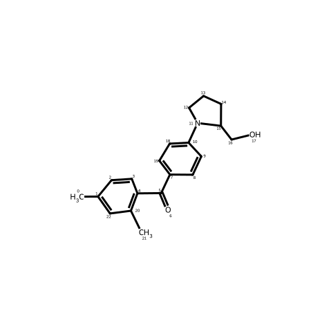 Cc1ccc(C(=O)c2ccc(N3CCCC3CO)cc2)c(C)c1